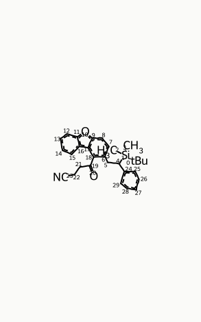 CC(C)(C)[Si](C)(C)C(Cc1ccc2oc3ccccc3c2c1C(=O)CCC#N)c1ccccc1